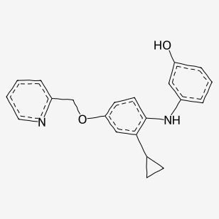 Oc1cccc(Nc2ccc(OCc3ccccn3)cc2C2CC2)c1